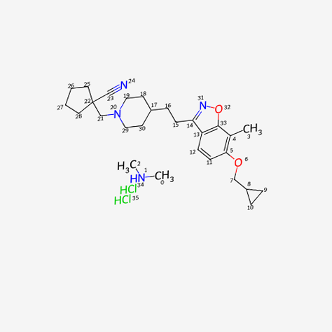 CNC.Cc1c(OCC2CC2)ccc2c(CCC3CCN(CC4(C#N)CCCC4)CC3)noc12.Cl.Cl